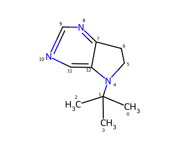 CC(C)(C)N1CCc2ncncc21